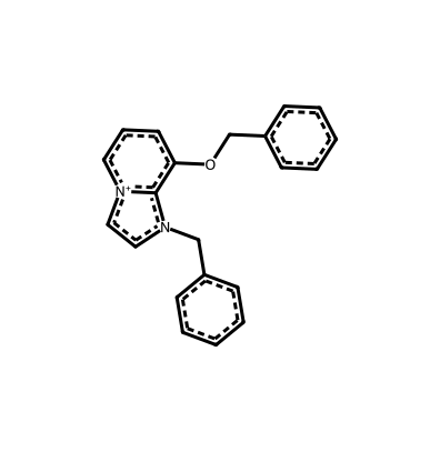 c1ccc(COc2ccc[n+]3ccn(Cc4ccccc4)c23)cc1